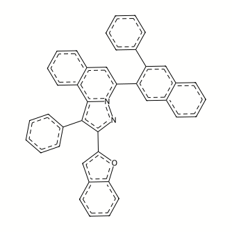 c1ccc(-c2cc3ccccc3cc2-c2cc3ccccc3c3c(-c4ccccc4)c(-c4cc5ccccc5o4)nn23)cc1